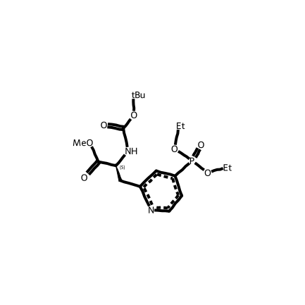 CCOP(=O)(OCC)c1ccnc(C[C@H](NC(=O)OC(C)(C)C)C(=O)OC)c1